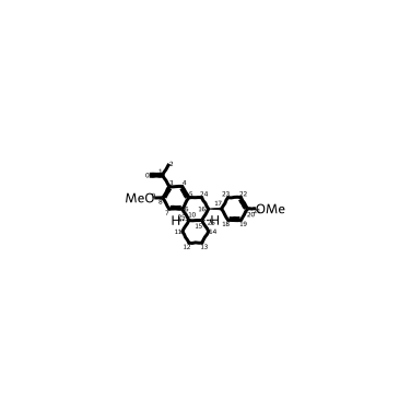 C=C(C)c1cc2c(cc1OC)[C@@H]1CCCC[C@@H]1[C@H](C1C=CC(OC)=CC1)C2